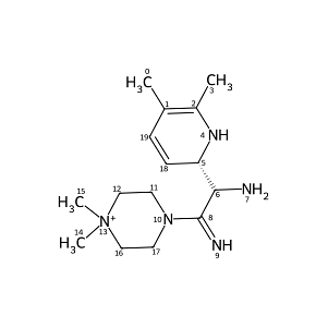 CC1=C(C)N[C@H](C(N)C(=N)N2CC[N+](C)(C)CC2)C=C1